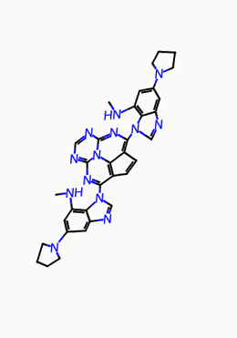 CNc1cc(N2CCCC2)cc2ncn(-c3nc4ncnc5nc(-n6cnc7cc(N8CCCC8)cc(NC)c76)c6ccc3c6n45)c12